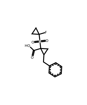 O=C(O)C1(S(=O)(=O)C2(F)CC2)CC1Cc1ccccc1